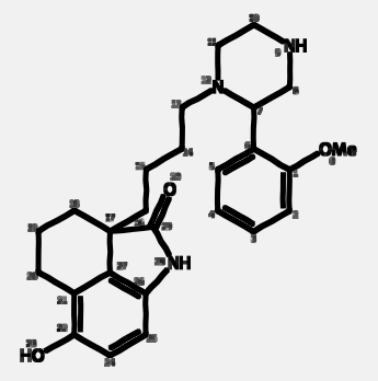 COc1ccccc1C1CNCCN1CCCCC12CCCc3c(O)ccc(c31)NC2=O